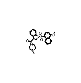 COc1ccc(S(=O)(=O)N2CC(C(=O)N3CCN(C)CC3)c3ccccc32)c2ccccc12